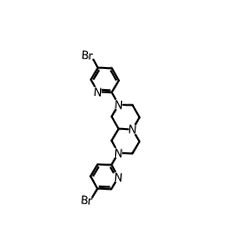 Brc1ccc(N2CCN3CCN(c4ccc(Br)cn4)CC3C2)nc1